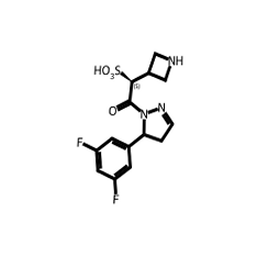 O=C([C@H](C1CNC1)S(=O)(=O)O)N1N=CCC1c1cc(F)cc(F)c1